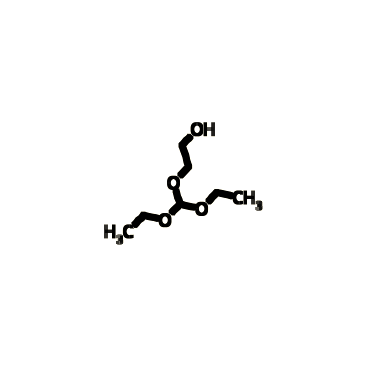 CCOC(OCC)OCCO